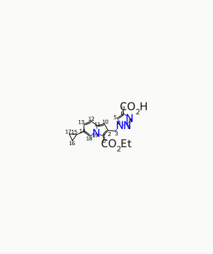 CCOC(=O)c1c(Cn2cc(C(=O)O)nn2)cc2ccc(C3CC3)cn12